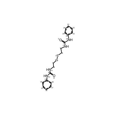 O=C(NCCSSCCNC(=O)Nc1ccccc1)Nc1ccccc1